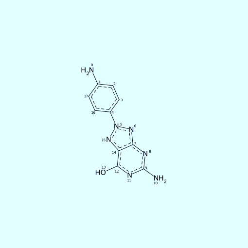 Nc1ccc(-n2nc3nc(N)nc(O)c3n2)cc1